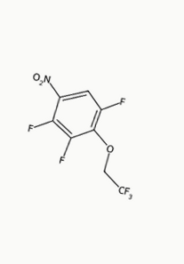 O=[N+]([O-])c1cc(F)c(OCC(F)(F)F)c(F)c1F